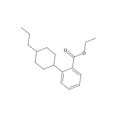 CCCC1CCC(c2ccccc2C(=O)OCC)CC1